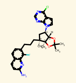 CC1(C)O[C@H]2[C@H](n3ccc4c(Cl)ncnc43)C[C@](C)(CCCc3ccc4ccc(N)nc4c3F)[C@]2(C)O1